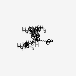 CC(C)(C)OC(=O)NCCCNC(=O)CCOCC(COCCC(=O)NCCCNC(=O)OC(C)(C)C)(COCCC(=O)NCCCNC(=O)OC(C)(C)C)NC(=O)CCCCCCCCCCC(=O)OCc1ccccc1